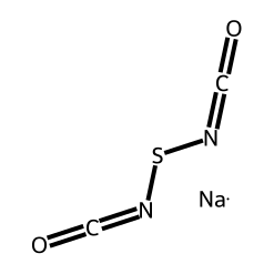 O=C=NSN=C=O.[Na]